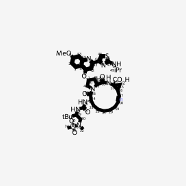 COc1ccc2c(O[C@@H]3C[C@H]4C(=O)N[C@]5(C(=O)O)CC5/C=C\CCCCC[C@H](NC(=O)NC(CN(C)S(C)(=O)=O)C(C)(C)C)C(=O)N4C3)cc(-c3csc(NC(C)C)n3)nc2c1